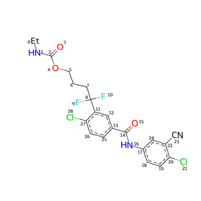 CCNC(=O)OCCCC(F)(F)c1cc(C(=O)Nc2ccc(Cl)c(C#N)c2)ccc1Cl